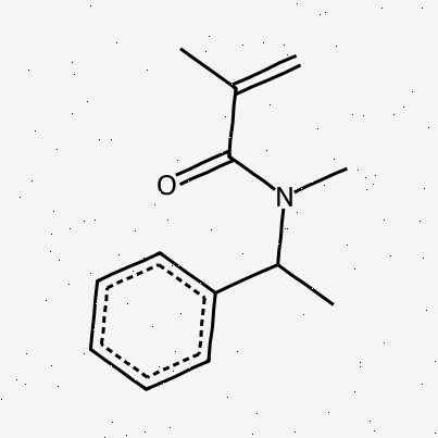 C=C(C)C(=O)N(C)C(C)c1ccccc1